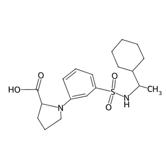 CC(NS(=O)(=O)c1cccc(N2CCCC2C(=O)O)c1)C1CCCCC1